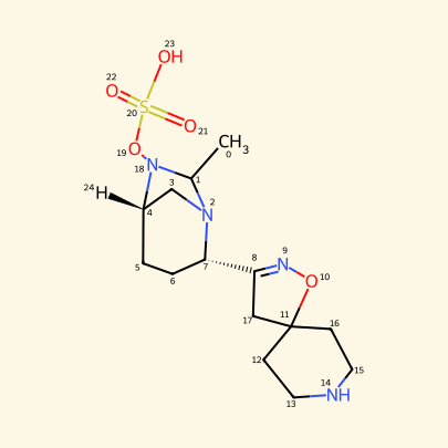 CC1N2C[C@H](CC[C@H]2C2=NOC3(CCNCC3)C2)N1OS(=O)(=O)O